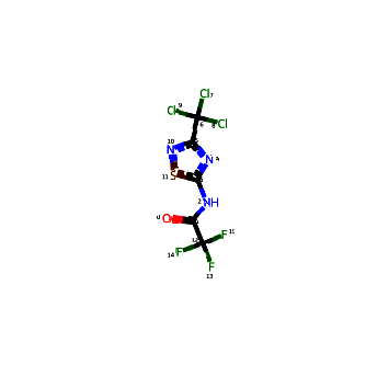 O=C(Nc1nc(C(Cl)(Cl)Cl)ns1)C(F)(F)F